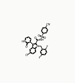 N#Cc1ccc(S(=O)(=O)NC(=O)c2c(-c3ccc[nH]c3=O)c3cc(Cl)ccc3n2Cc2cc(F)ccc2F)cc1